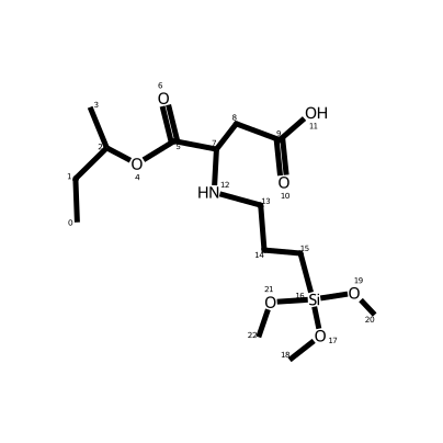 CCC(C)OC(=O)C(CC(=O)O)NCCC[Si](OC)(OC)OC